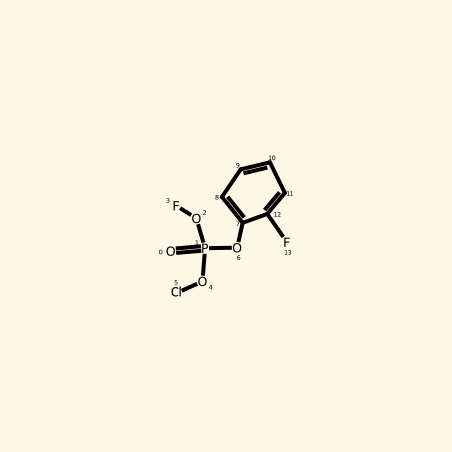 O=P(OF)(OCl)Oc1ccccc1F